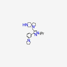 CC(C)n1cc(CN2CCCC23CCNCC3)c(-c2cccc(N3CCCC3)c2)n1